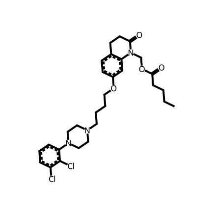 CCCCC(=O)OCN1C(=O)CCc2ccc(OCCCCN3CCN(c4cccc(Cl)c4Cl)CC3)cc21